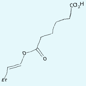 CCC=COC(=O)CCCCC(=O)O